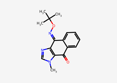 Cn1cnc2c1C(=O)c1ccccc1C2=NOC(C)(C)C